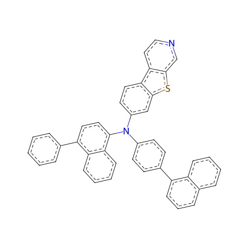 c1ccc(-c2ccc(N(c3ccc(-c4cccc5ccccc45)cc3)c3ccc4c(c3)sc3cnccc34)c3ccccc23)cc1